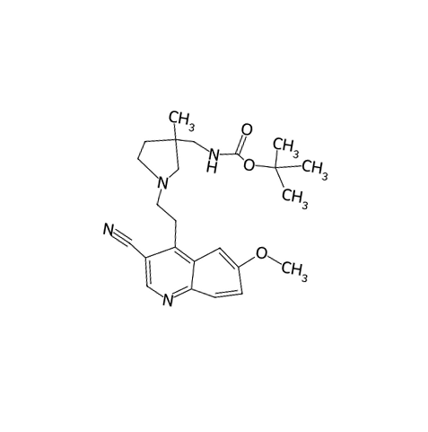 COc1ccc2ncc(C#N)c(CCN3CCC(C)(CNC(=O)OC(C)(C)C)C3)c2c1